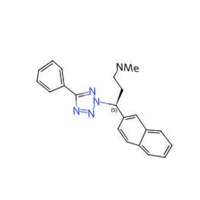 CNCC[C@@H](c1ccc2ccccc2c1)n1nnc(-c2ccccc2)n1